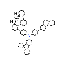 CC1(C)c2ccccc2-c2cccc(-c3ccccc3-c3ccc(N(c4ccc(-c5ccc6c(ccc7ccccc76)c5)cc4)c4ccc5c(c4)C4(CCCC4)c4ccccc4-5)cc3)c21